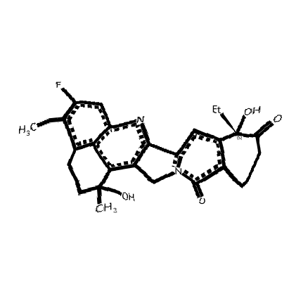 CC[C@@]1(O)C(=O)CCc2c1cc1n(c2=O)Cc2c-1nc1cc(F)c(C)c3c1c2C(C)(O)CC3